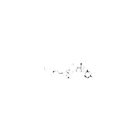 C#C[C@]1(F)C(O)[C@@H](COP(=O)(OCCSC(C)=O)N(C)C)O[C@H]1n1ccc(=O)[nH]c1=O